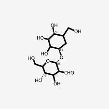 O=CC1C(O)[C@H](O)C(CO)O[C@@H]1O[C@@H]1CC(CO)[C@H](O)C(O)C1O